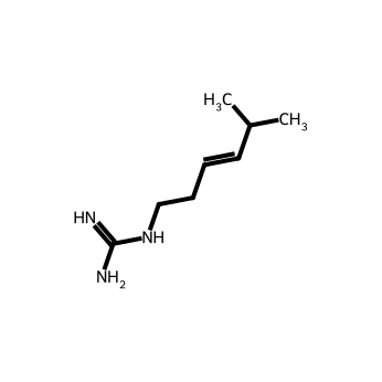 CC(C)/C=C/CCNC(=N)N